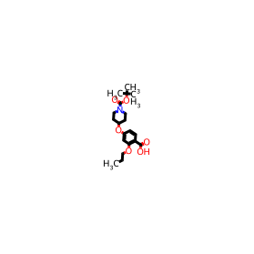 CCCOc1cc(OC2CCN(C(=O)OC(C)(C)C)CC2)ccc1C(=O)O